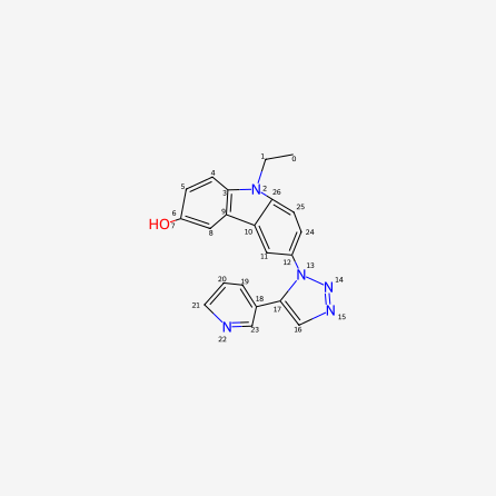 CCn1c2ccc(O)cc2c2cc(-n3nncc3-c3cccnc3)ccc21